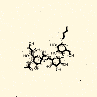 CCCCO[C@@H]1OC(CO)[C@@H](O[C@@H]2OC(CO[C@]3(C(=O)O)C[C@@H](O)[C@@H](NC(C)=O)C([C@H](O)[C@H](O)CO)O3)[C@H](O)[C@H](O)C2O)C(O)[C@@H]1O